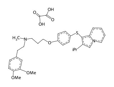 COc1ccc(CCN(C)CCCOc2ccc(Sc3c(C(C)C)cn4ccccc34)cc2)cc1OC.O=C(O)C(=O)O